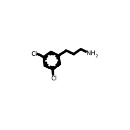 NCCCc1cc(Cl)cc(Cl)c1